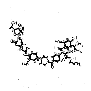 CCNC(=O)C(=N)N(C(=N)c1cc(C(C)C)c(O)cc1O)c1ccc(C(=O)N2CCN(c3ccc(OC(=O)Nc4ccn([C@H]5O[C@@H](CO)[C@H](O)C5(F)F)c(=O)n4)c(C)c3)CC2)cc1